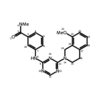 CNC(=O)c1cccc(Nc2ncnc(N3CCc4cccc(OC)c4C3)n2)c1